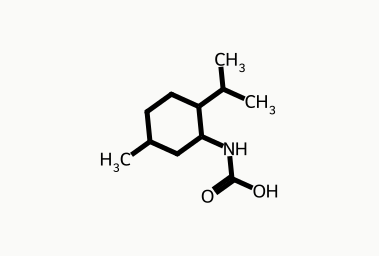 CC1CCC(C(C)C)C(NC(=O)O)C1